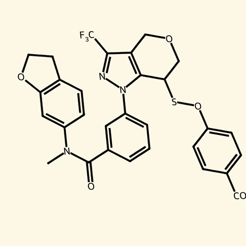 CN(C(=O)c1cccc(-n2nc(C(F)(F)F)c3c2C(SOc2ccc(C(=O)O)cc2)COC3)c1)c1ccc2c(c1)OCC2